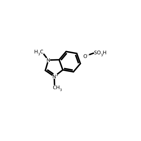 Cn1c[n+](C)c2ccccc21.O=S(=O)([O-])O